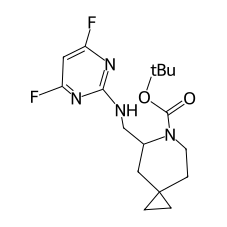 CC(C)(C)OC(=O)N1CCC2(CC2)CC1CNc1nc(F)cc(F)n1